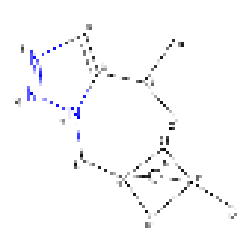 CC(C)c1cnnn1CC12CC(C)(C1)C2